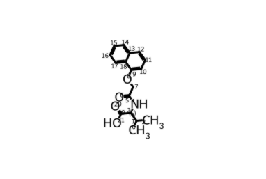 CC(C)[C@H](NC(=O)COc1cccc2ccccc12)C(=O)O